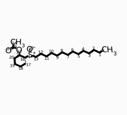 CCCCCCCCCCCCCC[S@+]([O-])[C@@H]1CCCC[C@H]1OC(C)=O